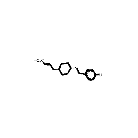 O=C(O)/C=C/C[C@H]1CC[C@H](CCc2ccc(Cl)cc2)CC1